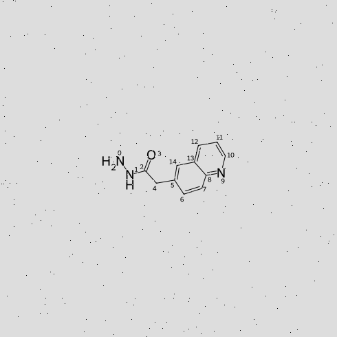 NNC(=O)Cc1ccc2ncccc2c1